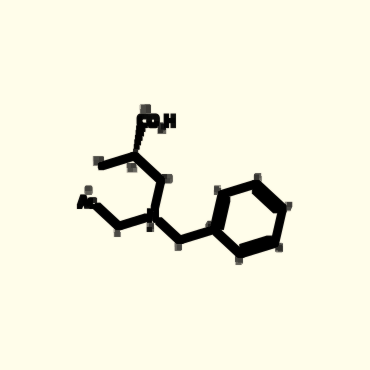 CC(=O)CN(Cc1ccccc1)C[C@H](C)C(=O)O